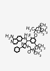 CCc1cc(OCC(C)(C)CN(C)C)c(F)c(C(Nc2ccc3c(N)nccc3c2)c2nc(-c3ccccc3)cn2CC(=O)N(C)C)c1